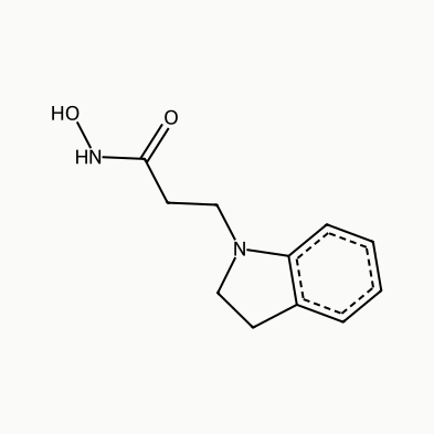 O=C(CCN1CCc2ccccc21)NO